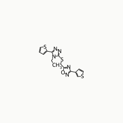 CCn1c(SCc2nc(-c3ccsc3)no2)nnc1-c1cccs1